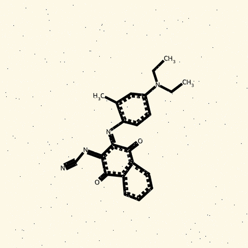 CCN(CC)c1ccc(N=c2c(=NC#N)c(=O)c3ccccc3c2=O)c(C)c1